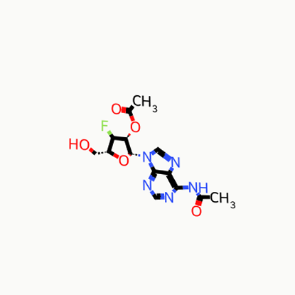 CC(=O)Nc1ncnc2c1ncn2[C@@H]1O[C@H](CO)C(F)[C@@H]1OC(C)=O